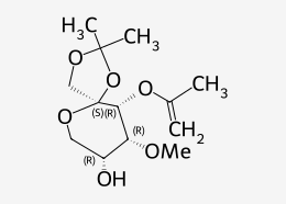 C=C(C)O[C@@H]1[C@H](OC)[C@H](O)CO[C@]12COC(C)(C)O2